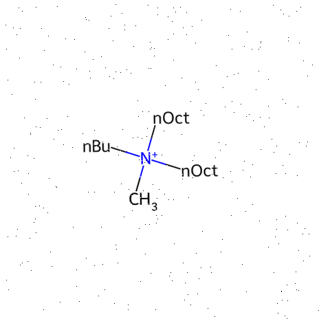 CCCCCCCC[N+](C)(CCCC)CCCCCCCC